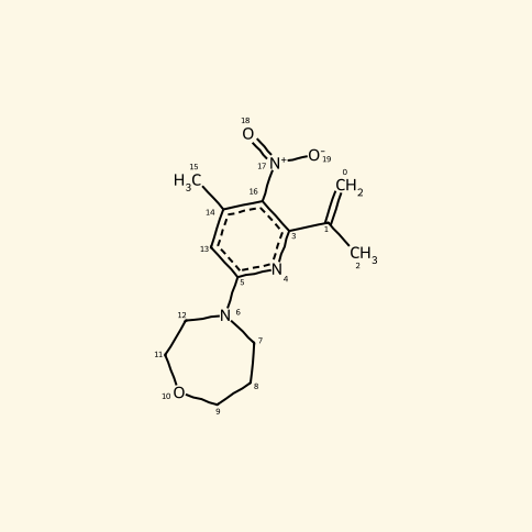 C=C(C)c1nc(N2CCCOCC2)cc(C)c1[N+](=O)[O-]